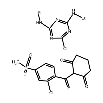 CCNc1nc(Cl)nc(NC(C)C)n1.CS(=O)(=O)c1ccc(C(=O)C2C(=O)CCCC2=O)c(Cl)c1